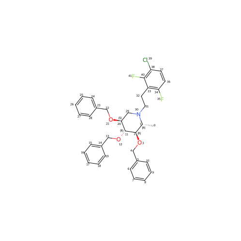 C[C@@H]1[C@@H](OCc2ccccc2)[C@H](OCc2ccccc2)[C@@H](OCc2ccccc2)CN1CCc1c(F)ccc(Cl)c1F